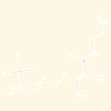 CCCOC(=O)C(O)=C(C)CCCCC(C)C(F)(F)F